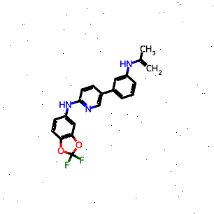 C=C(C)Nc1cccc(-c2ccc(Nc3ccc4c(c3)OC(F)(F)O4)nc2)c1